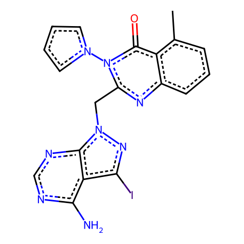 Cc1cccc2nc(Cn3nc(I)c4c(N)ncnc43)n(-n3cccc3)c(=O)c12